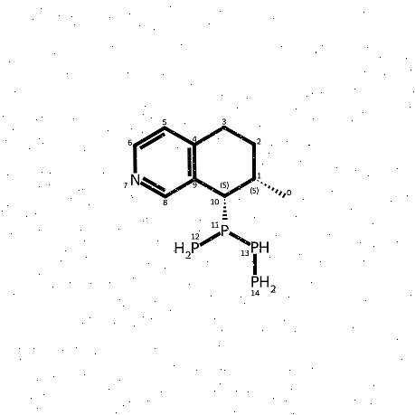 C[C@H]1CCc2ccncc2[C@H]1P(P)PP